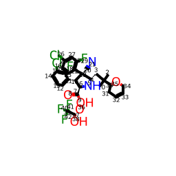 CC(C)(C[C@@H]1N[C@@H](C(=O)O)[C@H](c2cccc(Cl)c2F)[C@@]1(C#N)c1ccc(Cl)cc1F)C1CC=CCO1.O=C(O)C(F)(F)F